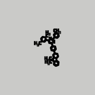 CC1=CCC(C)C(c2cc(-c3ccc(C4=CCC5C(=C4)C(C)(C)c4ccccc45)cc3)nc(-c3cccc(C)c3)n2)=C1